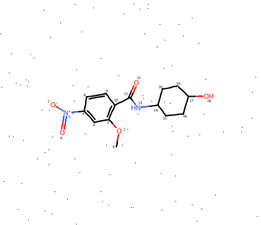 COc1cc([N+](=O)[O-])ccc1C(=O)NC1CCC(O)CC1